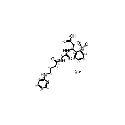 O=C(O)CC(NC(=O)CNC(=O)CCCNc1ccccn1)c1ccccc1[N+](=O)[O-].[Na]